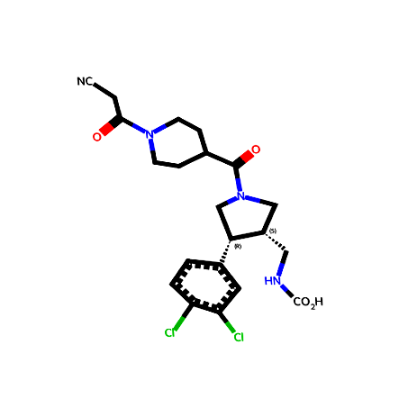 N#CCC(=O)N1CCC(C(=O)N2C[C@H](CNC(=O)O)[C@H](c3ccc(Cl)c(Cl)c3)C2)CC1